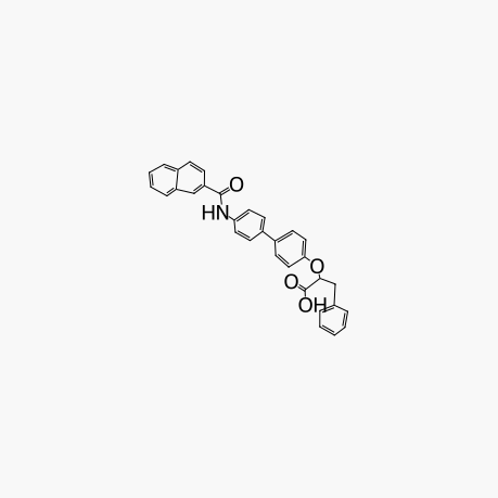 O=C(Nc1ccc(-c2ccc(OC(Cc3ccccc3)C(=O)O)cc2)cc1)c1ccc2ccccc2c1